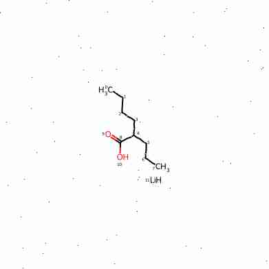 CCCCC(CCC)C(=O)O.[LiH]